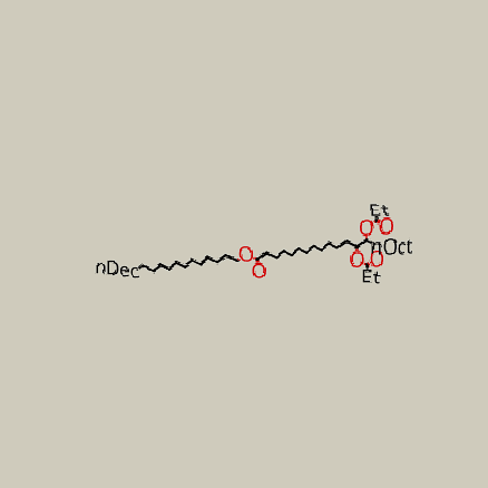 CCCCCCCCCCCCCCCCCCCCCCOC(=O)CCCCCCCCCCCC(OC(=O)CC)C(CCCCCCCC)OC(=O)CC